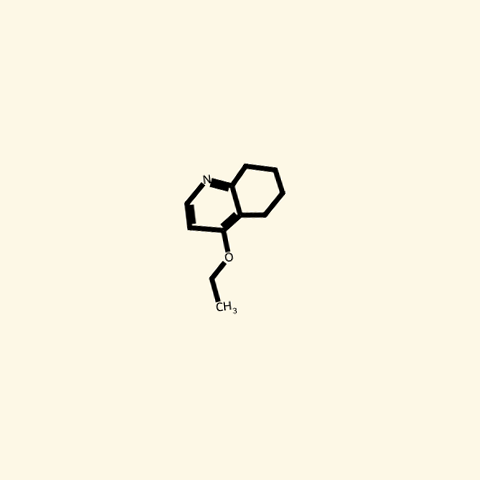 CCOc1ccnc2c1CCCC2